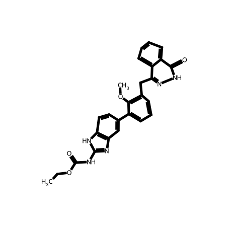 CCOC(=O)Nc1nc2cc(-c3cccc(Cc4n[nH]c(=O)c5ccccc45)c3OC)ccc2[nH]1